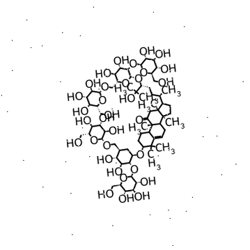 C[C@H](CC[C@@H](O[C@@H]1O[C@H](CO[C@@H]2O[C@H](CO)[C@@H](O)[C@H](O)[C@H]2O)[C@@H](O)[C@H](O)[C@H]1O[C@@H]1O[C@H](CO)[C@@H](O)[C@H](O)[C@H]1O)C(C)(C)O)C1CC[C@@]2(C)C3CC=C4C(CC[C@H](O[C@@H]5C[C@H](CO[C@@H]6O[C@H](CO)[C@@H](O)[C@H](O)[C@H]6O)[C@@H](O)[C@H](O)[C@H]5O[C@@H]5O[C@H](CO)[C@@H](O)[C@H](O)[C@H]5O)C4(C)C)[C@]3(C)C(=O)C[C@]12C